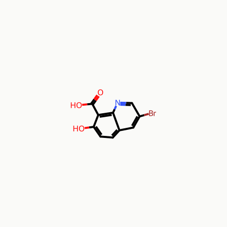 O=C(O)c1c(O)ccc2cc(Br)cnc12